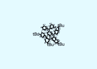 CC(C)(C)c1ccc(N2c3ccc(C(C)(C)C)cc3B3c4cc5cc(C(C)(C)C)sc5cc4N(c4ccc5cc(C(C)(C)C)sc5c4)c4cc(N(c5ccccc5)c5ccccc5)cc2c43)cc1